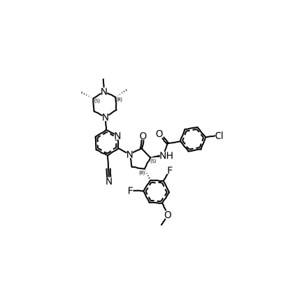 COc1cc(F)c([C@@H]2CN(c3nc(N4C[C@@H](C)N(C)[C@@H](C)C4)ccc3C#N)C(=O)[C@H]2NC(=O)c2ccc(Cl)cc2)c(F)c1